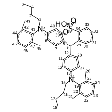 CCCCN(c1ccc(C(c2ccc(N(CCCC)c3c(C)cccc3C)cc2)c2ccccc2S(=O)(=O)O)cc1)c1c(C)cccc1C